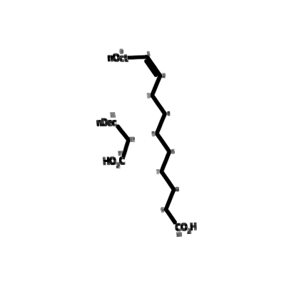 CCCCCCCC/C=C\CCCCCCCC(=O)O.CCCCCCCCCCCC(=O)O